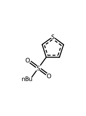 CCCCS(=O)(=O)c1ccsc1